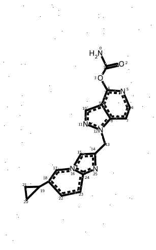 NC(=O)Oc1nccc2c1cnn2Cc1cn2cc(C3CC3)ccc2n1